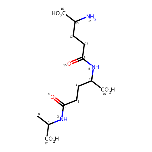 CC(NC(=O)CCC(NC(=O)CCC(N)C(=O)O)C(=O)O)C(=O)O